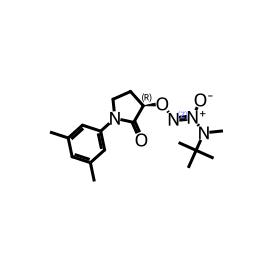 Cc1cc(C)cc(N2CC[C@@H](O/N=[N+](\[O-])N(C)C(C)(C)C)C2=O)c1